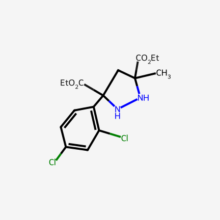 CCOC(=O)C1(C)CC(C(=O)OCC)(c2ccc(Cl)cc2Cl)NN1